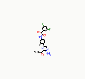 CNC(=O)c1nc(-c2ccc(NC(=O)[C@H](O)c3cc(F)cc(F)c3)cc2C)cnc1N